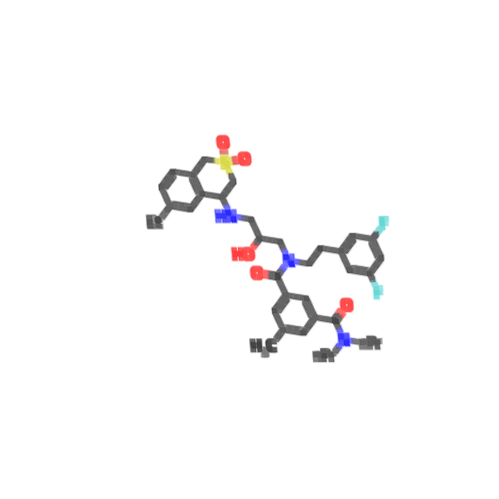 CCCN(CCC)C(=O)c1cc(C)cc(C(=O)N(CCc2cc(F)cc(F)c2)CC(O)CNC2CS(=O)(=O)Cc3ccc(CC)cc32)c1